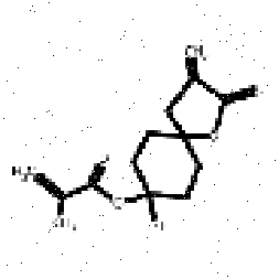 C=C(C)C(=O)OC1(CC)CCC2(CC1)CC(=C)C(=O)O2